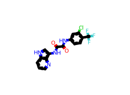 O=C(Nc1ccc(C(F)(F)F)c(Cl)c1)C(=O)Nc1c[nH]c2cccnc12